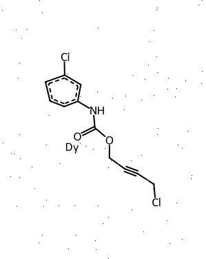 O=C(Nc1cccc(Cl)c1)OCC#CCCl.[Dy]